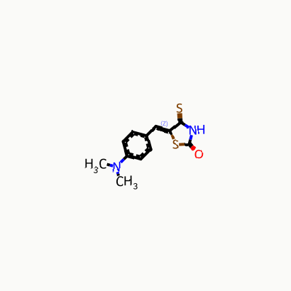 CN(C)c1ccc(/C=C2\SC(=O)NC2=S)cc1